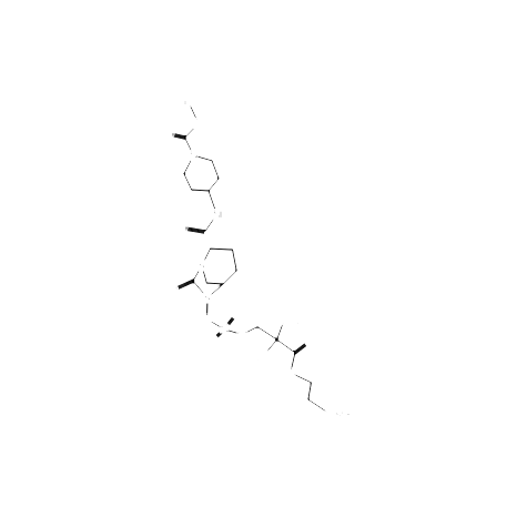 COCCOC(=O)C(C)(C)COS(=O)(=O)ON1C(=O)N2CC1CC[C@H]2C(=O)NC1CCN(C(=O)OC(C)(C)C)CC1